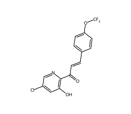 O=C(/C=C/c1ccc(OC(F)(F)F)cc1)c1ncc(Cl)cc1O